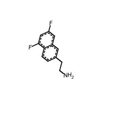 NCCc1ccc2c(F)cc(F)cc2c1